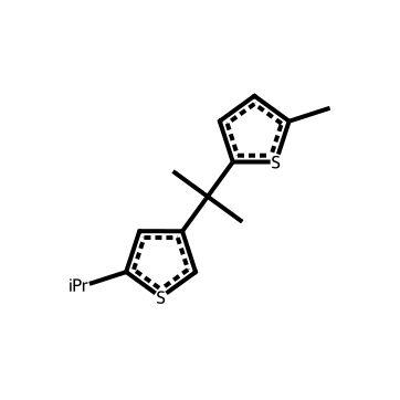 Cc1ccc(C(C)(C)c2csc(C(C)C)c2)s1